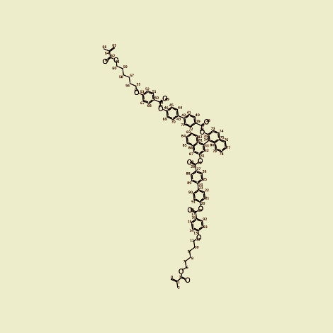 C=C(C)C(=O)OCCCCCCOc1ccc(C(=O)Oc2ccc(-c3ccc(C(=O)Oc4cc(-c5c(OC(=O)c6ccc(-c7ccc(OC(=O)c8ccc(OCCCCCCOC(=O)C(=C)C)cc8)cc7)cc6)ccc6ccccc56)c5ccccc5c4)cc3)cc2)cc1